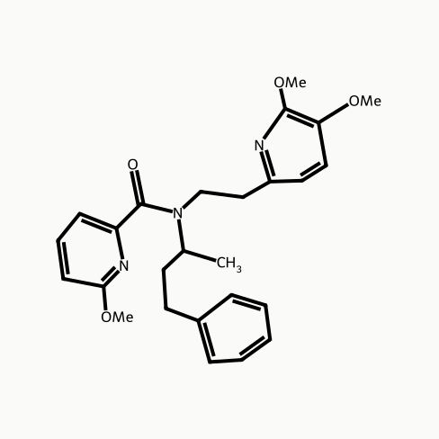 COc1cccc(C(=O)N(CCc2ccc(OC)c(OC)n2)C(C)CCc2ccccc2)n1